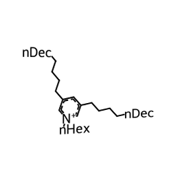 CCCCCCCCCCCCCCc1cc(CCCCCCCCCCCCCC)c[n+](CCCCCC)c1